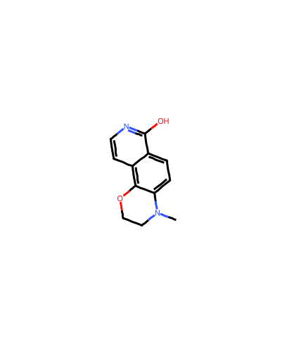 CN1CCOc2c1ccc1c(O)nccc21